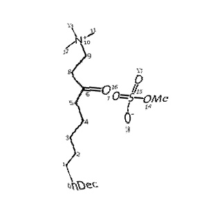 CCCCCCCCCCCCCCCC(=O)CC[N+](C)(C)C.COS(=O)(=O)[O-]